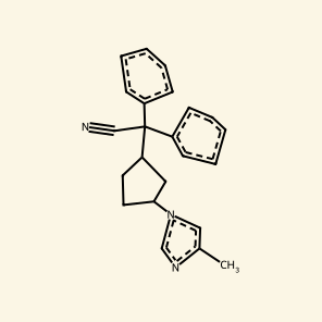 Cc1cn(C2CCC(C(C#N)(c3ccccc3)c3ccccc3)C2)cn1